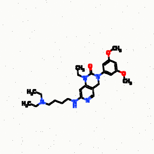 CCN(CC)CCCCNc1cc2c(cn1)CN(c1cc(OC)cc(OC)c1)C(=O)N2CC